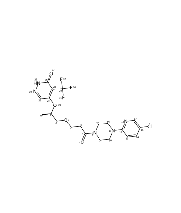 C[C@H](COCCC(=O)N1CCN(c2ccc(Cl)cn2)CC1)Oc1cn[nH]c(=O)c1C(F)(F)F